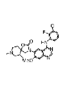 COc1cc2ncnc(Nc3cccc(Cl)c3F)c2cc1N1CC2(CCN(C)CC2C)OC1=O